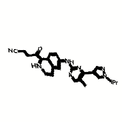 Cc1cnc(Nc2ccc3c(c2)CCNC3C(=O)CCC#N)nc1-c1cnn(C(C)C)c1